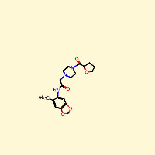 COc1cc2c(cc1NC(=O)CN1CCN(C(=O)C3CCCO3)CC1)OCO2